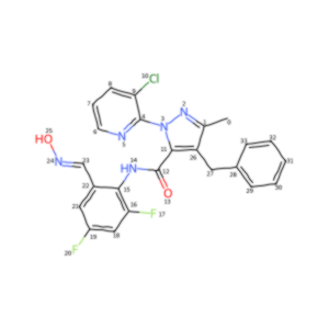 Cc1nn(-c2ncccc2Cl)c(C(=O)Nc2c(F)cc(F)cc2/C=N/O)c1Cc1ccccc1